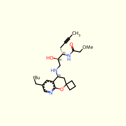 CC#CC[C@H](NC(=O)COC)[C@H](O)CN[C@H]1CC2(CCC2)Oc2ncc(CC(C)(C)C)cc21